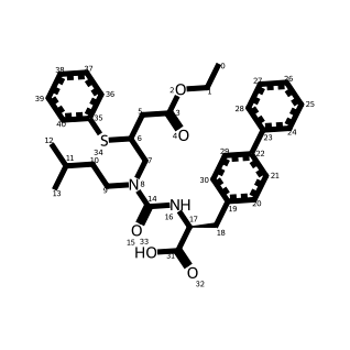 CCOC(=O)CC(CN(CCC(C)C)C(=O)N[C@@H](Cc1ccc(-c2ccccc2)cc1)C(=O)O)Sc1ccccc1